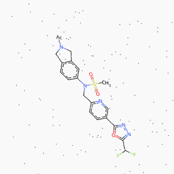 CC(=O)N1Cc2ccc(N(Cc3ccc(-c4nnc(C(F)F)o4)cn3)S(C)(=O)=O)cc2C1